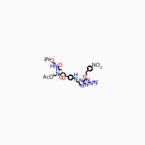 CC(=O)OCCNC(=O)[C@H](CCC(=O)NCCOC(C)C)CC(=O)c1ccc(NCc2cnc3nc(/N=C/N(C)C)nc(OCCc4ccc([N+](=O)[O-])cc4)c3n2)cc1